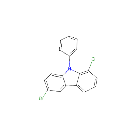 Clc1cccc2c3cc(Br)ccc3n(-c3ccccc3)c12